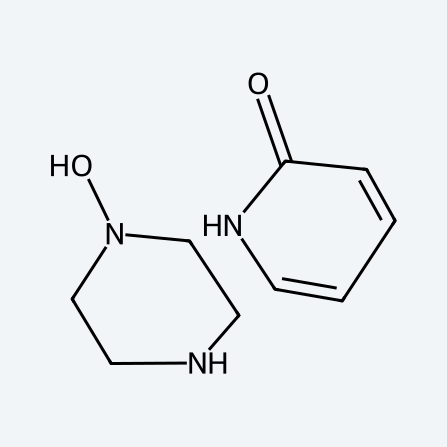 O=c1cccc[nH]1.ON1CCNCC1